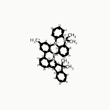 Cc1cc2c3c(c1)N1c4ccccc4[Si](C)(C)c4cccc(c41)B3n1c3c(c4cccc-2c41)-c1ccccc1C3(C)C